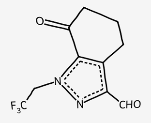 O=Cc1nn(CC(F)(F)F)c2c1CCCC2=O